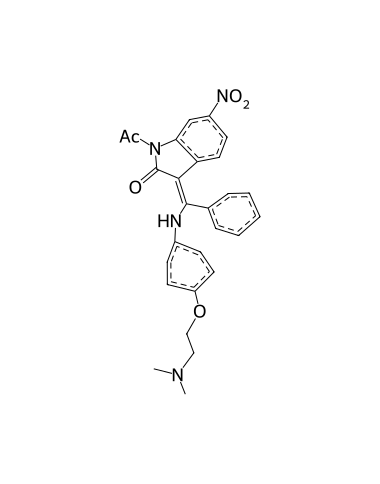 CC(=O)N1C(=O)/C(=C(\Nc2ccc(OCCN(C)C)cc2)c2ccccc2)c2ccc([N+](=O)[O-])cc21